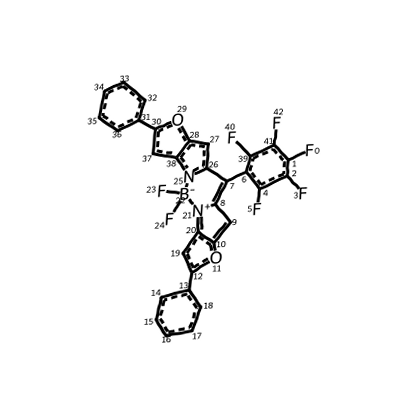 Fc1c(F)c(F)c(C2=C3C=c4oc(-c5ccccc5)cc4=[N+]3[B-](F)(F)n3c2cc2oc(-c4ccccc4)cc23)c(F)c1F